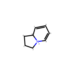 [C]1CCN2C=CC=CC12